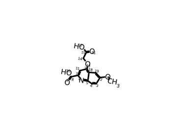 COc1ccc2nc(C(=O)O)cc(OCC(=O)O)c2c1